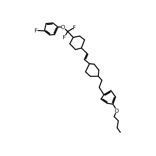 CCCCOc1ccc(CCC2CCC(/C=C/C3CCC(C(F)(F)Oc4ccc(F)cc4)CC3)CC2)cc1